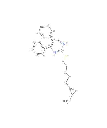 O=C(O)C1CC1CCCCCSc1ncc(-c2ccccc2)c(-c2ccccc2)n1